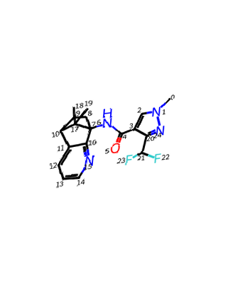 Cn1cc(C(=O)NC23CCC(c4cccnc42)C3(C)C)c(C(F)F)n1